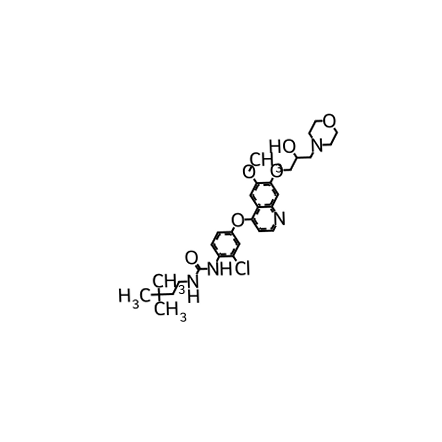 COc1cc2c(Oc3ccc(NC(=O)NCCC(C)(C)C)c(Cl)c3)ccnc2cc1OCC(O)CN1CCOCC1